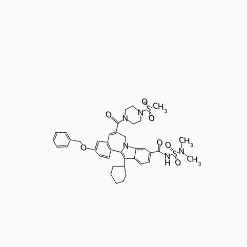 CN(C)S(=O)(=O)NC(=O)c1ccc2c(C3CCCCC3)c3n(c2c1)CC(C(=O)N1CCN(S(C)(=O)=O)CC1)=Cc1cc(OCc2ccccc2)ccc1-3